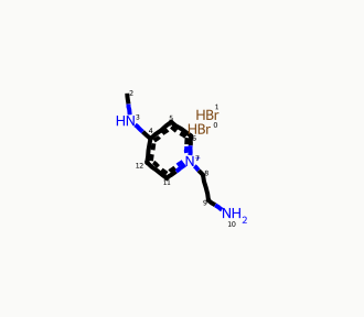 Br.Br.CNc1cc[n+](CCN)cc1